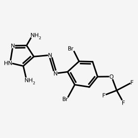 Nc1n[nH]c(N)c1N=Nc1c(Br)cc(OC(F)(F)F)cc1Br